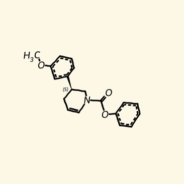 COc1cccc([C@@H]2CC=CN(C(=O)Oc3ccccc3)C2)c1